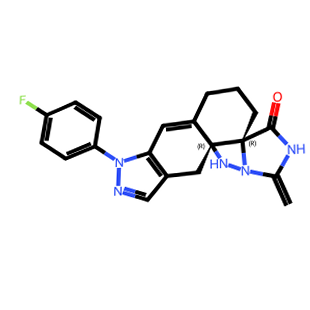 C=C1NC(=O)[C@@]23CCCC4=Cc5c(cnn5-c5ccc(F)cc5)C[C@@]42NN13